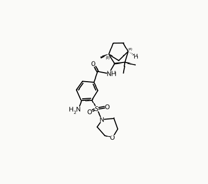 CC1(C)C(NC(=O)c2ccc(N)c(S(=O)(=O)N3CCOCC3)c2)[C@]2(C)CC[C@@H]1C2